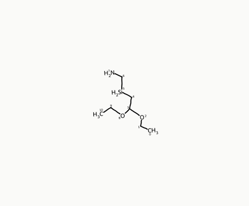 CCOC(C[SiH2]CN)OCC